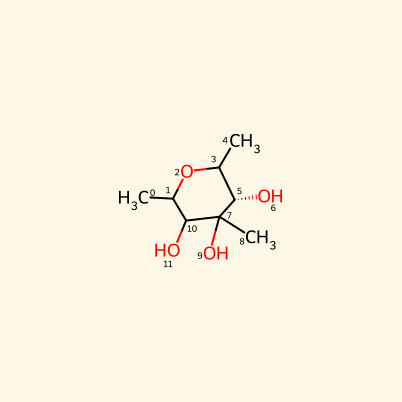 CC1OC(C)[C@H](O)C(C)(O)C1O